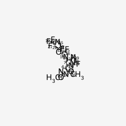 COc1ncc(-c2cc(N3C[C@H](Oc4ccnc(C(F)(F)F)c4)C(F)(F)C3)c3ncc(F)n3n2)c(OC)n1